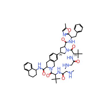 CNCC(=O)NC(C(=O)N1Cc2cc([C@H]3CC(C(=O)NC(Cc4ccccc4)c4ncc(C)o4)N(C(=O)[C@@H](NC(=O)CNC)C(C)(C)C)C3)ccc2CC1C(=O)NC1CCCc2ccccc21)C(C)(C)C